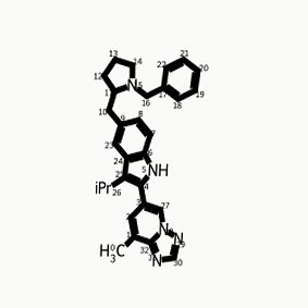 Cc1cc(-c2[nH]c3ccc(CC4CCCN4Cc4ccccc4)cc3c2C(C)C)cn2ncnc12